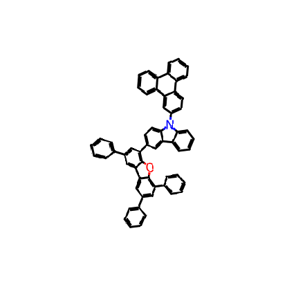 c1ccc(-c2cc(-c3ccccc3)c3oc4c(-c5ccc6c(c5)c5ccccc5n6-c5ccc6c7ccccc7c7ccccc7c6c5)cc(-c5ccccc5)cc4c3c2)cc1